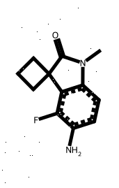 CN1C(=O)C2(CCC2)c2c1ccc(N)c2F